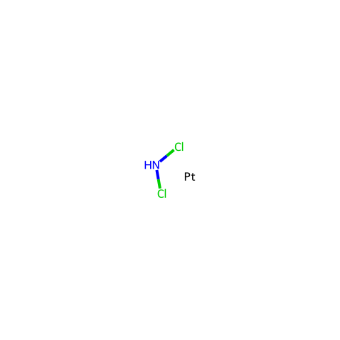 ClNCl.[Pt]